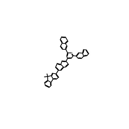 CC1(C)c2ccccc2-c2ccc(-c3ccc4cc(-c5cc(-c6ccc7ccccc7c6)nc(-c6ccc7ccccc7c6)c5)ccc4c3)cc21